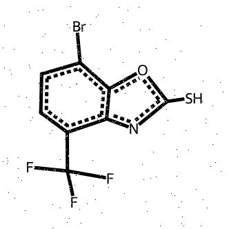 FC(F)(F)c1ccc(Br)c2oc(S)nc12